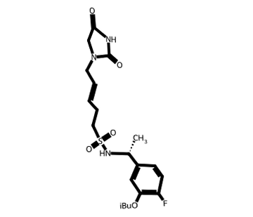 CC(C)COc1cc([C@@H](C)NS(=O)(=O)CC/C=C/CN2CC(=O)NC2=O)ccc1F